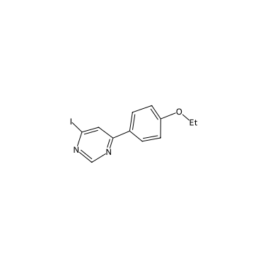 CCOc1ccc(-c2cc(I)ncn2)cc1